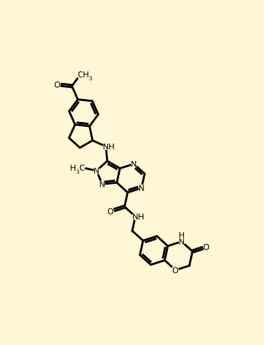 CC(=O)c1ccc2c(c1)CCC2Nc1c2ncnc(C(=O)NCc3ccc4c(c3)NC(=O)CO4)c2nn1C